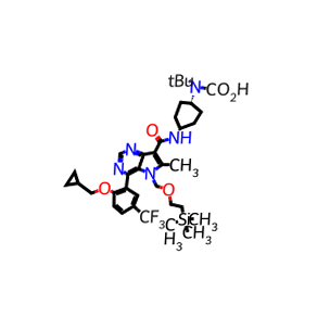 Cc1c(C(=O)N[C@H]2CC[C@@H](N(C(=O)O)C(C)(C)C)CC2)c2ncnc(-c3cc(C(F)(F)F)ccc3OCC3CC3)c2n1COCC[Si](C)(C)C